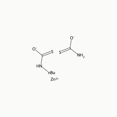 CCCCNC([O-])=S.NC([O-])=S.[Zn+2]